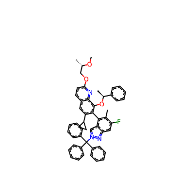 CO[C@@H](C)COc1ccc2cc(C3CC3)c(-c3c(C)c(F)cc4nn(C(c5ccccc5)(c5ccccc5)c5ccccc5)cc34)c(O[C@@H](C)c3ccccc3)c2n1